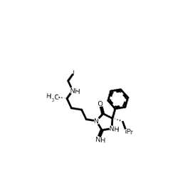 CC(C)C[C@]1(c2ccccc2)NC(=N)N(CCC[C@H](C)NCI)C1=O